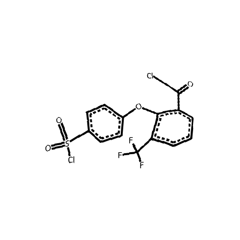 O=C(Cl)c1cccc(C(F)(F)F)c1Oc1ccc(S(=O)(=O)Cl)cc1